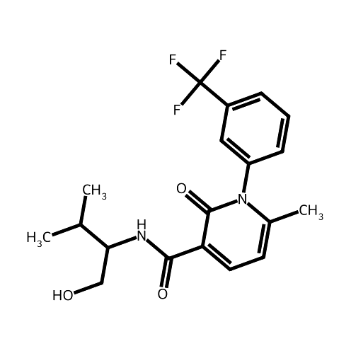 Cc1ccc(C(=O)NC(CO)C(C)C)c(=O)n1-c1cccc(C(F)(F)F)c1